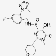 Cc1ncnn1-c1cc(F)ccc1CNC(=O)c1nc(C2CCOCC2)n(C)c(=O)c1O